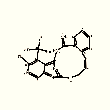 C=C1Nc2nc(nc3cnc(Cl)c(C(F)(F)F)c23)OCC=Cc2ccccc21